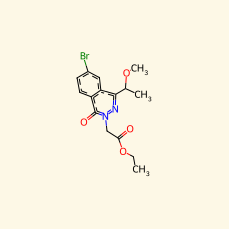 CCOC(=O)Cn1nc(C(C)OC)c2cc(Br)ccc2c1=O